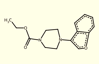 CCOC(=O)N1CCN(c2coc3ccccc23)CC1